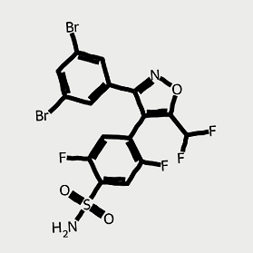 NS(=O)(=O)c1cc(F)c(-c2c(-c3cc(Br)cc(Br)c3)noc2C(F)F)cc1F